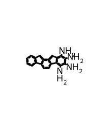 Nc1c(N)c(N)c2c(c1N)C=c1c-2ccc2c1=Cc1ccccc1-2